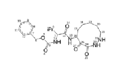 CC(C)C(NC(=O)OCc1ccccc1)C(=O)NC1CCCCCNNC(=O)C1=O